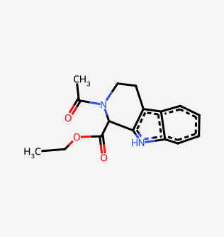 CCOC(=O)C1c2[nH]c3ccccc3c2CCN1C(C)=O